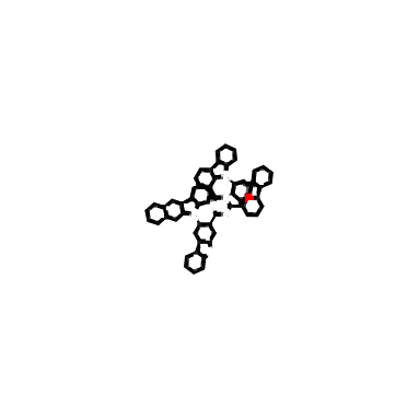 c1ccc(-n2c3ccccc3c3cccc(-c4nc(-c5cc6oc7ccccc7c6cc5-n5c6ccccc6c6cc7ccccc7cc65)nc(-c5cccc6c5sc5ccccc56)n4)c32)cc1